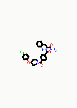 NC(=O)C(Cc1ccccc1)NC(=O)c1ccc(C(=O)N2CCC(Oc3ccc(Cl)cc3)CC2)cc1